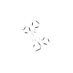 Cc1ccc(C(P)(c2ccc(C)cc2)[C@@H]2CC[C@H]2C(P)(c2ccc(C)cc2)c2ccc(C)cc2)cc1